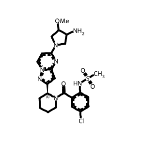 COC1CN(c2ccn3nc([C@@H]4CCCCN4C(=O)c4cc(Cl)ccc4NS(C)(=O)=O)cc3n2)CC1N